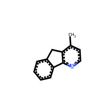 Cc1ccnc2c1Cc1ccccc1-2